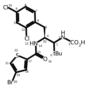 CC(C)(C)C(NC(=O)O)[C@H](Cc1ccc(Cl)cc1Cl)NC(=O)c1cc(Br)cs1